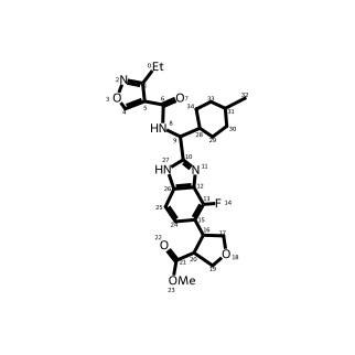 CCc1nocc1C(=O)NC(c1nc2c(F)c(C3COCC3C(=O)OC)ccc2[nH]1)C1CCC(C)CC1